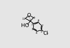 OC1(c2ccc(Cl)cc2)COC1